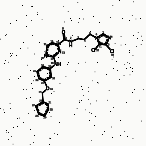 O=C(NCCCn1cnc(Cl)c1Cl)c1ccnc(Nc2cccc(OCc3ccccc3)c2)n1